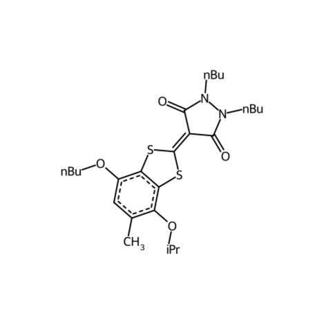 CCCCOc1cc(C)c(OC(C)C)c2c1SC(=C1C(=O)N(CCCC)N(CCCC)C1=O)S2